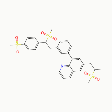 CC(Cc1cc(-c2cccc(CC(c3ccc(S(C)(=O)=O)cc3)S(C)(=O)=O)c2)c2ncccc2c1)S(C)(=O)=O